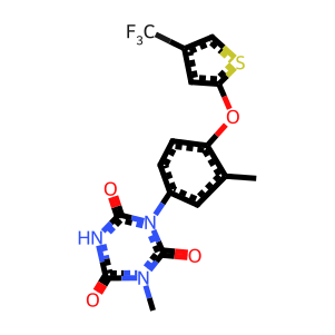 Cc1cc(-n2c(=O)[nH]c(=O)n(C)c2=O)ccc1Oc1cc(C(F)(F)F)cs1